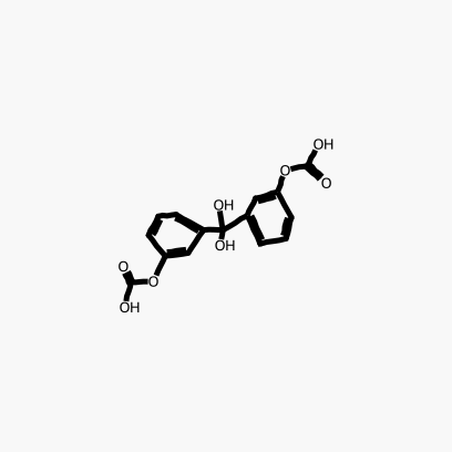 O=C(O)Oc1cccc(C(O)(O)c2cccc(OC(=O)O)c2)c1